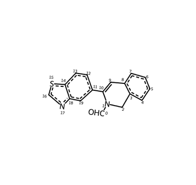 O=CN1Cc2ccccc2C=C1c1ccc2scnc2c1